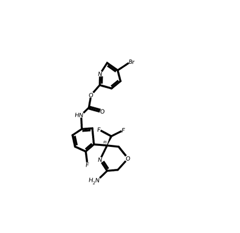 NC1=N[C@@](c2cc(NC(=O)Oc3ccc(Br)cn3)ccc2F)(C(F)F)COC1